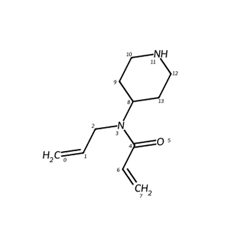 C=CCN(C(=O)C=C)C1CCNCC1